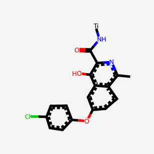 Cc1nc(C(=O)[NH][Ti])c(O)c2cc(Oc3ccc(Cl)cc3)ccc12